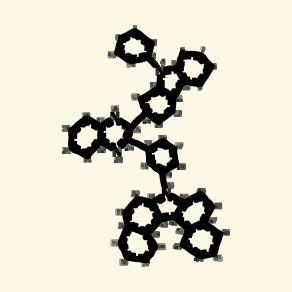 c1ccc(-n2c3ccccc3c3ccc(-c4nc5ccccc5nc4-c4cccc(-n5c6ccc7ccccc7c6c6c7ccccc7ccc65)c4)cc32)cc1